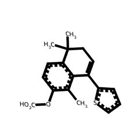 Cc1c(OC(=O)O)ccc2c1C(c1cccs1)=CCC2(C)C